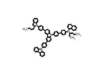 C=C/C=C\c1cc2ccccc2n1-c1ccc(C2C=c3c(n(-c4ccc(C5=CC=C(N(C6=C7C=CC=CC7CC=C6)/C(C=C)=C/C=C)CC5)cc4)c4ccc(-c5ccc(-n6c7ccccc7c7ccccc76)cc5)cc34)=CC2)cc1